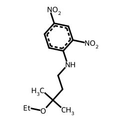 CCOC(C)(C)CCNc1ccc([N+](=O)[O-])cc1[N+](=O)[O-]